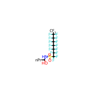 CCCC(O)NS(=O)(=O)C(F)(F)C(F)(F)C(F)(F)C(F)(F)C(F)(F)C(F)(F)C(F)(F)C(F)(F)F